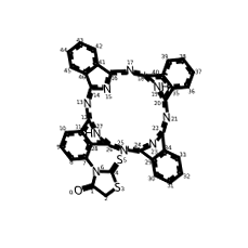 O=C1CSC(=S)N1c1cccc2c3nc4nc(nc5[nH]c(nc6nc(nc([nH]3)c12)-c1ccccc1-6)c1ccccc51)-c1ccccc1-4